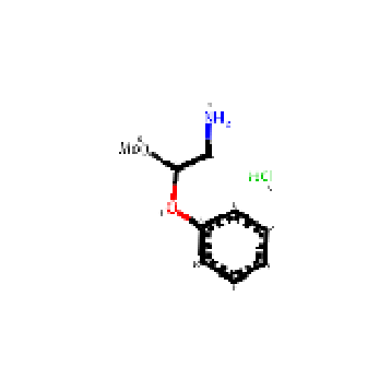 COC(CN)Oc1ccccc1.Cl